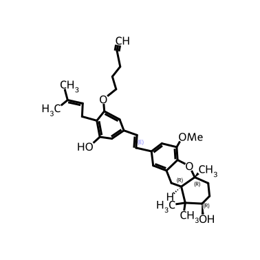 C#CCCCOc1cc(/C=C/c2cc3c(c(OC)c2)O[C@]2(C)CC[C@@H](O)C(C)(C)[C@H]2C3)cc(O)c1CC=C(C)C